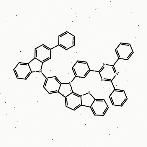 c1ccc(-c2ccc3c4ccccc4n(-c4ccc5c6ccc7c8ccccc8sc7c6n(-c6cccc(-c7nc(-c8ccccc8)nc(-c8ccccc8)n7)c6)c5c4)c3c2)cc1